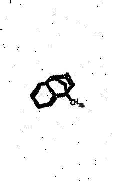 CC12C=CC(C1)C1C=CCCC12